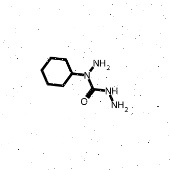 NNC(=O)N(N)[C]1CCCCC1